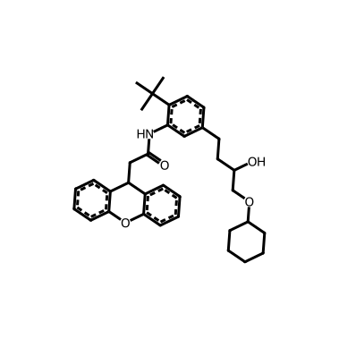 CC(C)(C)c1ccc(CCC(O)COC2CCCCC2)cc1NC(=O)CC1c2ccccc2Oc2ccccc21